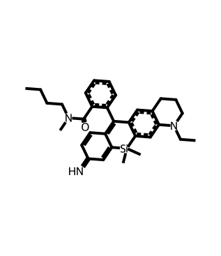 CCCCN(C)C(=O)c1ccccc1C1=C2C=CC(=N)C=C2[Si](C)(C)c2cc3c(cc21)CCCN3CC